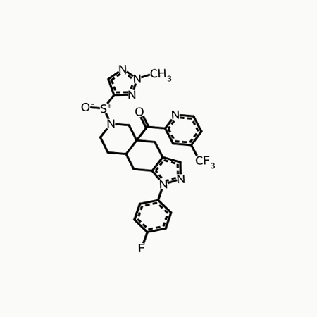 Cn1ncc([S+]([O-])N2CCC3Cc4c(cnn4-c4ccc(F)cc4)CC3(C(=O)c3cc(C(F)(F)F)ccn3)C2)n1